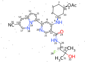 CC(=O)O[C@@H]1CCC[C@H](Nc2cc(-c3ccc4cc(C#N)cnn34)ncc2C(=O)NC[C@@H](F)C(C)(C)O)C1